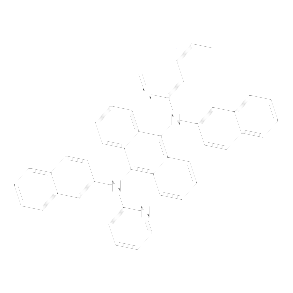 C=N/C(=C\C=C/C)N(c1ccc2ccccc2c1)c1c2ccccc2c(N(c2ccc3ccccc3c2)c2ccccn2)c2ccccc12